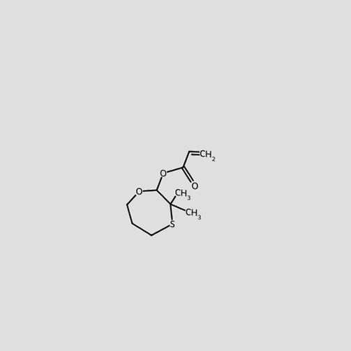 C=CC(=O)OC1OCCCSC1(C)C